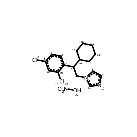 Clc1ccc(C(Cn2ccnc2)C2CCCCC2)c(Cl)c1.O=[N+]([O-])O